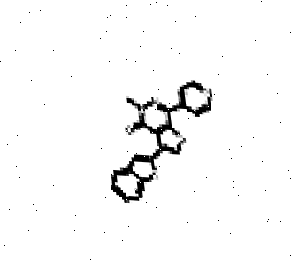 Cn1nc(-c2ccncc2)c2scc(-c3cc4ccccc4s3)c2c1=O